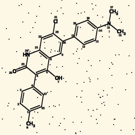 Cc1ccc(-c2c(O)c3cc(-c4ccc(N(C)C)cc4)c(Cl)cc3[nH]c2=O)cc1